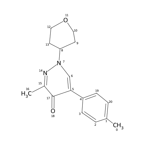 Cc1ccc(-c2cn(C3CCOCC3)nc(C)c2=O)cc1